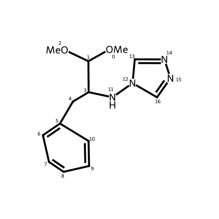 COC(OC)C(Cc1ccccc1)Nn1cnnc1